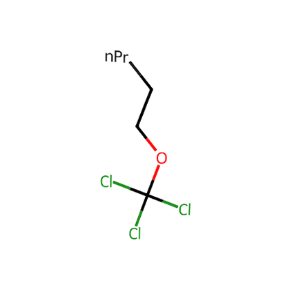 CCCCCOC(Cl)(Cl)Cl